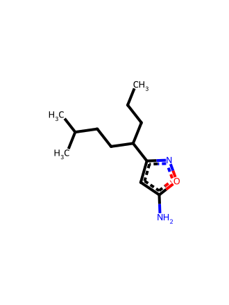 CCCC(CCC(C)C)c1cc(N)on1